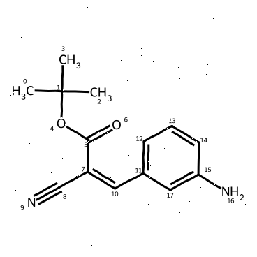 CC(C)(C)OC(=O)C(C#N)=Cc1cccc(N)c1